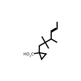 CC=CC(C)C(C)(C)CC1(C(=O)O)CC1